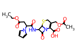 CCOC(=O)CC(C(=O)NC1C(=O)N2C(C(=O)O)=C(COC(C)=O)CSC12)n1cccc1